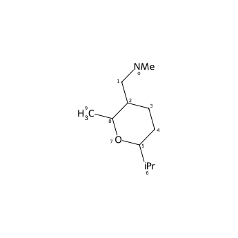 CNCC1CCC(C(C)C)OC1C